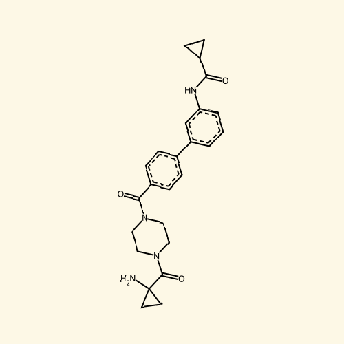 NC1(C(=O)N2CCN(C(=O)c3ccc(-c4cccc(NC(=O)C5CC5)c4)cc3)CC2)CC1